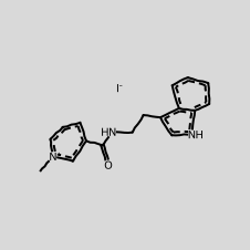 C[n+]1cccc(C(=O)NCCc2c[nH]c3ccccc23)c1.[I-]